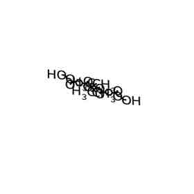 CC1(C)C(OC(=O)C2CCC(C(=O)OCCO)CC2)C(C)(C)C1OC(=O)C1CCC(C(=O)OCCO)CC1